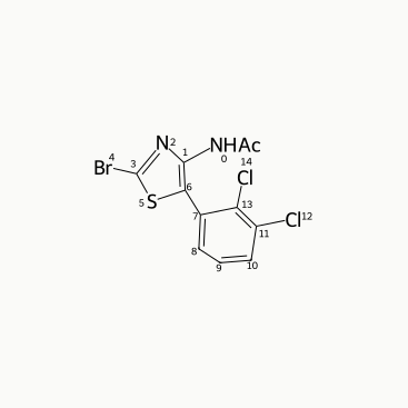 CC(=O)Nc1nc(Br)sc1-c1cccc(Cl)c1Cl